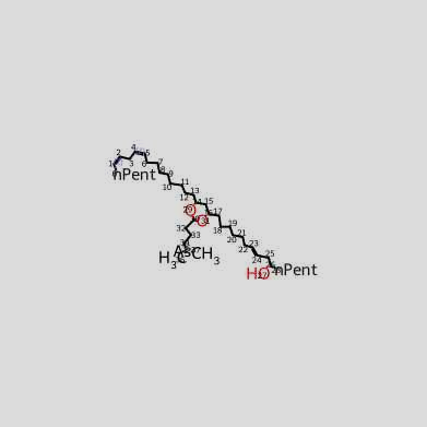 CCCCC/C=C\C/C=C\CCCCCCCCC(CCCCCCCCC=CCC(O)CCCCC)OC(=O)CCC[As](C)C